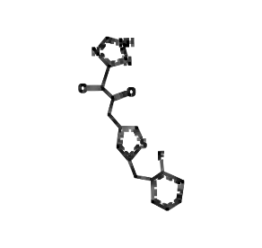 O=C(Cc1csc(Cc2ccccc2F)c1)C(=O)c1nc[nH]n1